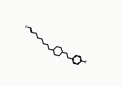 FC=CCCCCCCC1CCC(CCc2ccc(F)cc2)CC1